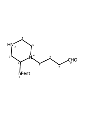 CCCCCC1CNCCN1CCCC=O